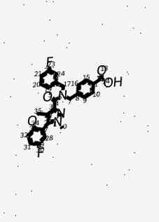 Cn1nc(C(=O)N(Cc2ccc(C(=O)O)cc2)Cc2cccc(F)c2)c2c1-c1cc(F)ccc1OC2